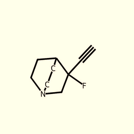 C#CC1(F)CN2CCC1CC2